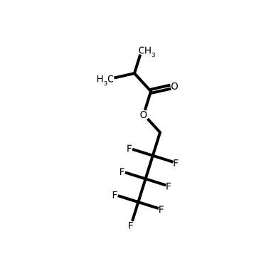 CC(C)C(=O)OCC(F)(F)C(F)(F)C(F)(F)F